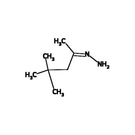 C/C(CC(C)(C)C)=N/N